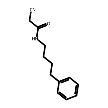 N#CCC(=O)NCCCCc1ccccc1